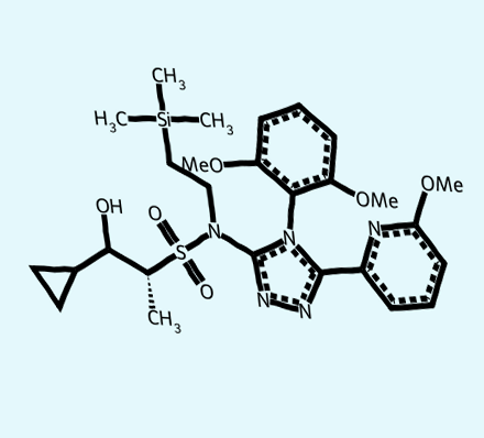 COc1cccc(-c2nnc(N(CC[Si](C)(C)C)S(=O)(=O)[C@H](C)C(O)C3CC3)n2-c2c(OC)cccc2OC)n1